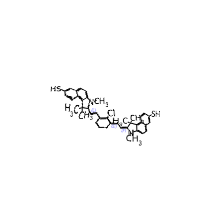 CN1/C(=C/C=C2\CCCC(/C=C/C3=[N+](C)c4ccc5cc(S)ccc5c4C3(C)C)=C2Cl)C(C)(C)c2c1ccc1cc(S)ccc21